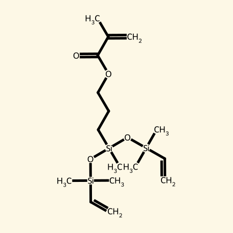 C=C[Si](C)(C)O[Si](C)(CCCOC(=O)C(=C)C)O[Si](C)(C)C=C